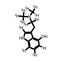 [2H]c1[nH]c2c([2H])c([2H])c([2H])c(O)c2c1CC([2H])([2H])N(C([2H])([2H])[2H])C([2H])([2H])[2H]